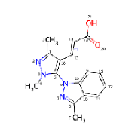 Cc1nn(C)c(-n2nc(C)c3ccccc32)c1/C=C/C(=O)O